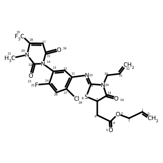 C=CCOC(=O)CC1SC(=Nc2cc(-n3c(=O)cc(C(F)(F)F)n(C)c3=O)c(F)cc2Cl)N(CC=C)C1=O